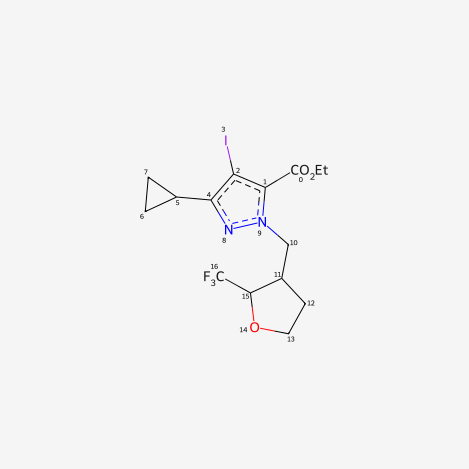 CCOC(=O)c1c(I)c(C2CC2)nn1CC1CCOC1C(F)(F)F